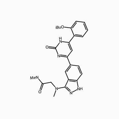 CNC(=O)CN(C)c1n[nH]c2ccc(-c3cc(-c4ccccc4OCC(C)C)[nH]c(=O)n3)cc12